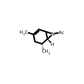 CC(=O)N1C2C=C(C)C[C@@H](C)[C@H]21